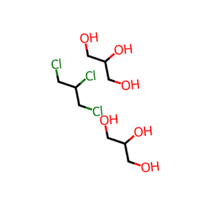 ClCC(Cl)CCl.OCC(O)CO.OCC(O)CO